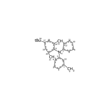 Cc1cccc(N(c2ccccc2)c2c(C)cc(C(C)(C)C)cc2C)c1